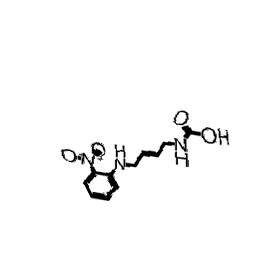 O=C(O)NC/C=C/CNc1ccccc1[N+](=O)[O-]